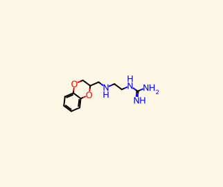 N=C(N)NCCNCC1COc2ccccc2O1